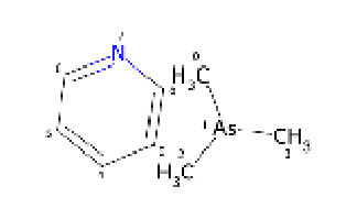 C[As](C)C.c1ccncc1